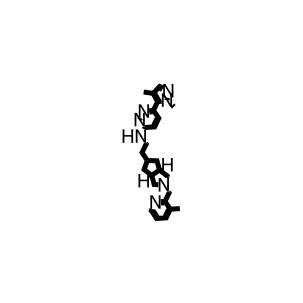 Cc1cccnc1CN1C[C@H]2CC(CCNc3ccc(-c4c(C)cnn4C)nn3)C[C@H]2C1